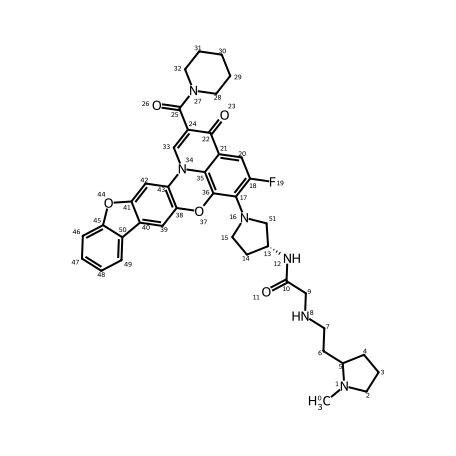 CN1CCCC1CCNCC(=O)N[C@@H]1CCN(c2c(F)cc3c(=O)c(C(=O)N4CCCCC4)cn4c3c2Oc2cc3c(cc2-4)oc2ccccc23)C1